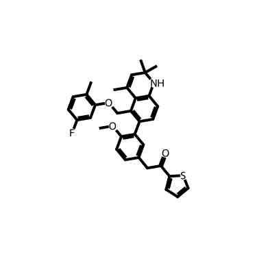 COc1ccc(CC(=O)c2cccs2)cc1-c1ccc2c(c1COc1cc(F)ccc1C)C(C)=CC(C)(C)N2